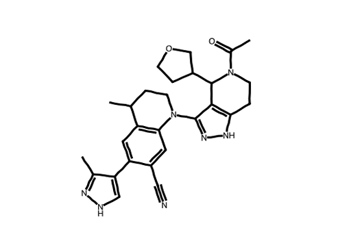 CC(=O)N1CCc2[nH]nc(N3CCC(C)c4cc(-c5c[nH]nc5C)c(C#N)cc43)c2C1C1CCOC1